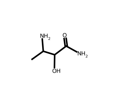 CC(N)C(O)C(N)=O